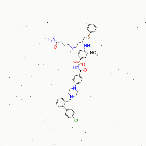 CN(CCCC(N)=O)CCC(CSc1ccccc1)Nc1ccc(S(=O)(=O)NC(=O)c2ccc(N3CCN(Cc4ccccc4-c4ccc(Cl)cc4)CC3)cc2)cc1[N+](=O)[O-]